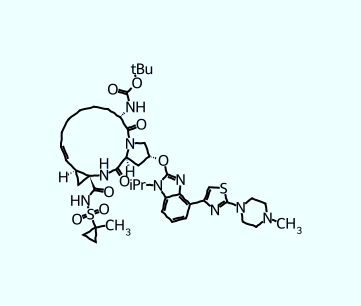 CC(C)n1c(O[C@@H]2C[C@H]3C(=O)N[C@]4(C(=O)NS(=O)(=O)C5(C)CC5)C[C@H]4/C=C\CCCCC[C@H](NC(=O)OC(C)(C)C)C(=O)N3C2)nc2c(-c3csc(N4CCN(C)CC4)n3)cccc21